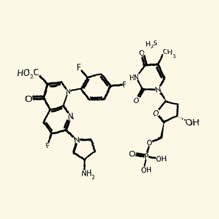 Cc1cn([C@H]2C[C@H](O)[C@@H](COP(=O)(O)O)O2)c(=O)[nH]c1=O.NC1CCN(c2nc3c(cc2F)c(=O)c(C(=O)O)cn3-c2ccc(F)cc2F)C1.S